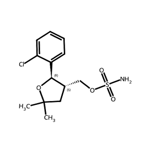 CC1(C)C[C@@H](COS(N)(=O)=O)[C@H](c2ccccc2Cl)O1